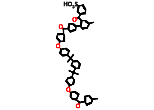 Cc1ccc(C(=O)c2ccc(Oc3ccc(C(C)(C)c4cccc(C(C)(C)c5ccc(Oc6ccc(C(=O)c7ccc(-c8ccc(C)cc8C(=O)c8cccc(S(=O)(=O)O)c8)cc7)cc6)cc5)c4)cc3)cc2)cc1